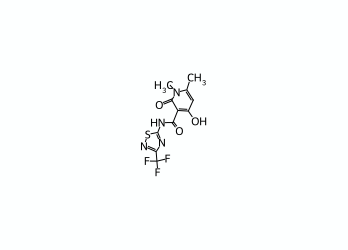 Cc1cc(O)c(C(=O)Nc2nc(C(F)(F)F)ns2)c(=O)n1C